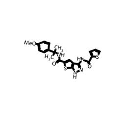 COc1ccc(C(C)(C)NC(=O)c2cc3c(NC(=O)c4cccs4)n[nH]c3s2)cc1